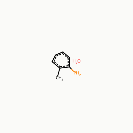 Cc1ccccc1P.O